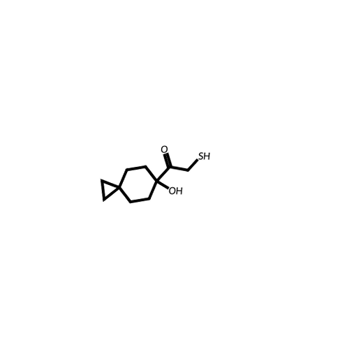 O=C(CS)C1(O)CCC2(CC2)CC1